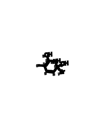 CC1=C(O)NC(O)(Br)C=C1